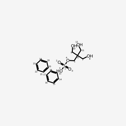 O=S(=O)(O)OCC(CO)(CO)CO.c1ccccc1.c1ccccc1